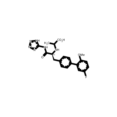 COc1ccc(F)cc1-c1ccc(C[C@H](NC(C)C(=O)O)C(=O)Nc2nnn[nH]2)cc1